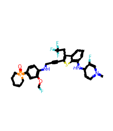 CN1CCC(Nc2cccc3c(CC(F)(F)F)c(C#CCNc4ccc(P5(=O)CCCCC5)cc4OCF)sc23)C(F)C1